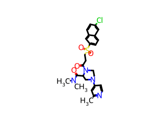 Cc1cc(N2CCN(C(=O)CCS(=O)(=O)c3ccc4cc(Cl)ccc4c3)C(C(=O)N(C)C)C2)ccn1